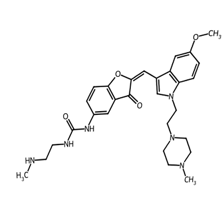 CNCCNC(=O)Nc1ccc2c(c1)C(=O)C(=Cc1cn(CCN3CCN(C)CC3)c3ccc(OC)cc13)O2